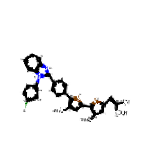 CCCCCCc1cc(-c2sc(/C=C(/C#N)C(=O)O)cc2CCCCCC)sc1-c1ccc(-c2nc3ccccc3n2-c2ccc(F)cc2)cc1